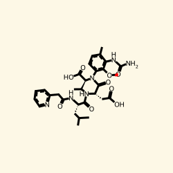 COc1c(N(C(=O)[C@H](CC(=O)O)NC(=O)[C@H](CC(C)C)NC(=O)Cc2ccccn2)[C@H](C(=O)O)C(C)C)ccc(C)c1NC(N)=O